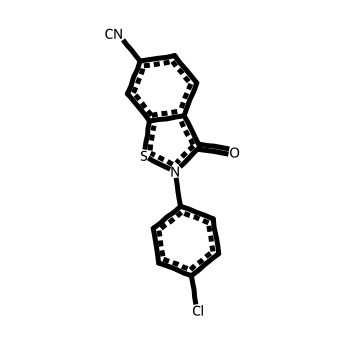 [C-]#[N+]c1ccc2c(=O)n(-c3ccc(Cl)cc3)sc2c1